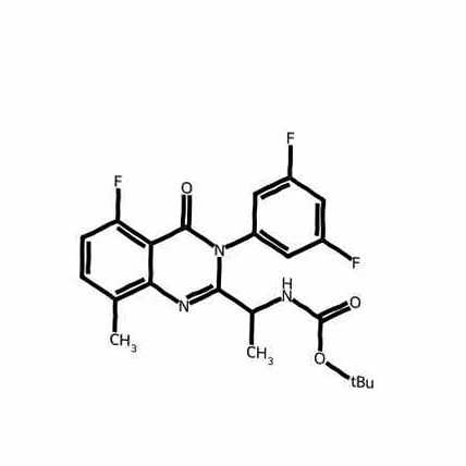 Cc1ccc(F)c2c(=O)n(-c3cc(F)cc(F)c3)c(C(C)NC(=O)OC(C)(C)C)nc12